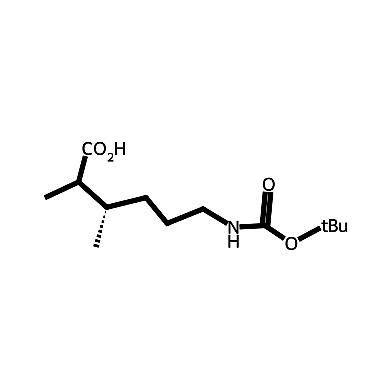 CC(C(=O)O)[C@@H](C)CCCNC(=O)OC(C)(C)C